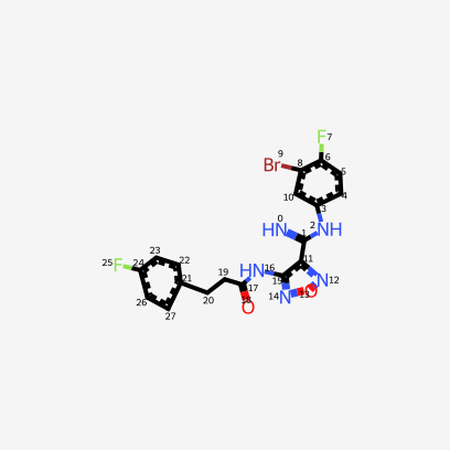 N=C(Nc1ccc(F)c(Br)c1)c1nonc1NC(=O)CCc1ccc(F)cc1